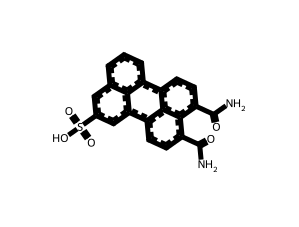 NC(=O)c1ccc2c3cccc4cc(S(=O)(=O)O)cc(c5ccc(C(N)=O)c1c25)c43